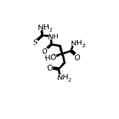 NC(=O)CC(O)(CC(=O)NC(N)=S)C(N)=O